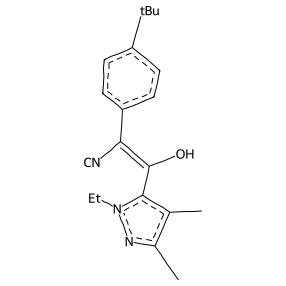 [C-]#[N+]C(=C(O)c1c(C)c(C)nn1CC)c1ccc(C(C)(C)C)cc1